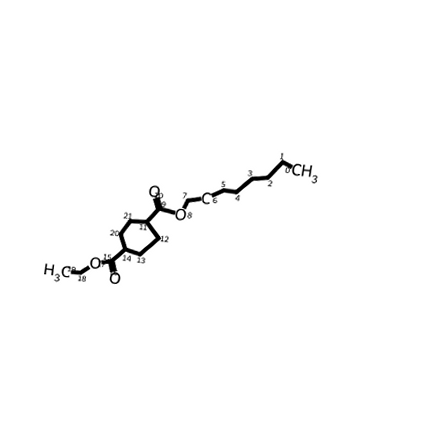 CCCCCCCCOC(=O)C1CCC(C(=O)OCC)CC1